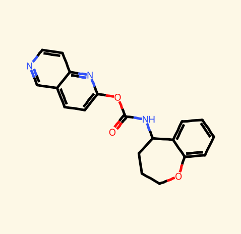 O=C(NC1CCCOc2ccccc21)Oc1ccc2cnccc2n1